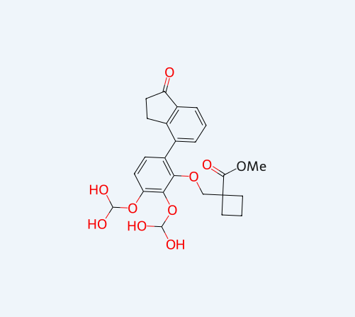 COC(=O)C1(COc2c(-c3cccc4c3CCC4=O)ccc(OC(O)O)c2OC(O)O)CCC1